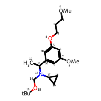 COCCCOc1cc(OC)cc(C(C)N(COC(C)(C)C)C2CC2)c1